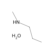 CCCNC.O